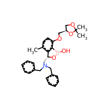 Cc1ccc(OC[C@H]2COC(C)(C)O2)c2c1[C@@H](CN(Cc1ccccc1)Cc1ccccc1)OB2O